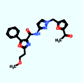 COCCc1nc(C(=O)Nc2ccn(Cc3ccc(C(C)=O)o3)n2)c(-c2ccccc2)o1